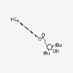 C#CC#CC#CC#CC#COC(=O)CCc1cc(C(C)(C)C)c(O)c(C(C)(C)C)c1